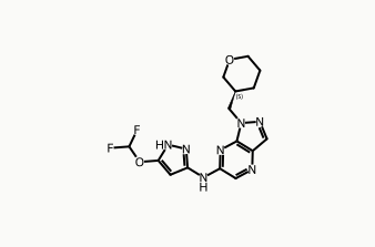 FC(F)Oc1cc(Nc2cnc3cnn(C[C@@H]4CCCOC4)c3n2)n[nH]1